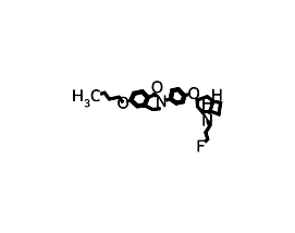 CCCCOc1ccc2c(c1)CCN(c1ccc(O[C@H]3C[C@H]4CCC45[C@@H](C3)N5CCCF)cc1)C2=O